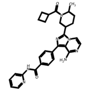 CC1CCC(c2nc(-c3ccc(C(=O)Nc4ccccn4)cc3)c3c(N)nccn23)CN1C(=O)C1CCC1